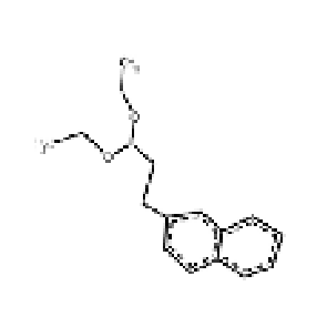 CCOP(CCc1ccc2ccccc2c1)OCC